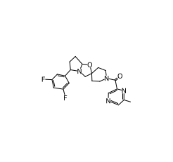 Cc1cncc(C(=O)N2CCC3(CC2)CN2C(CCC2c2cc(F)cc(F)c2)O3)n1